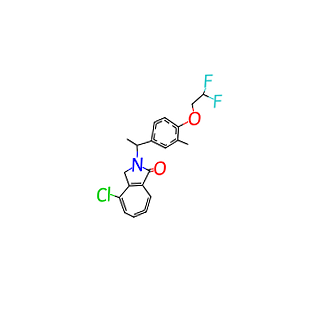 Cc1cc(C(C)N2CC3=C(C=C=CC=C3Cl)C2=O)ccc1OCC(F)F